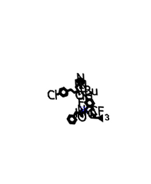 CC(C)(C)C(O)(CCc1ccc(Cl)cc1)Cn1cncn1.O=C(Cc1ccccc1)/N=C(\NOCC1CC1)c1c(C(F)(F)F)ccc(F)c1F